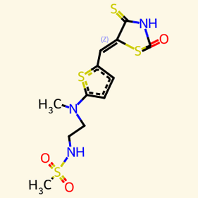 CN(CCNS(C)(=O)=O)c1ccc(/C=C2\SC(=O)NC2=S)s1